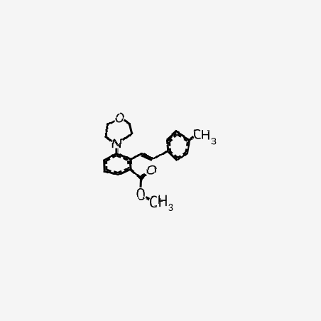 COC(=O)c1cccc(N2CCOCC2)c1C=Cc1ccc(C)cc1